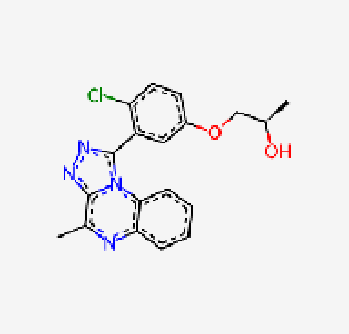 Cc1nc2ccccc2n2c(-c3cc(OC[C@@H](C)O)ccc3Cl)nnc12